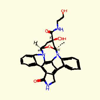 C[C@]12O[C@H](C[C@]1(O)C(=O)NCCO)n1c3ccccc3c3c4c(c5c6ccccc6n2c5c31)CNC4=O